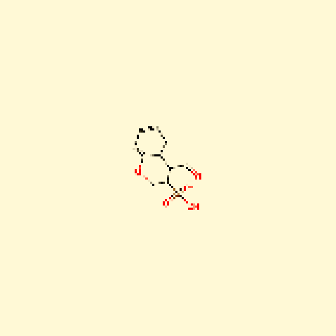 O=CC1C2CC=CC=C2OCC1S(=O)(=O)O